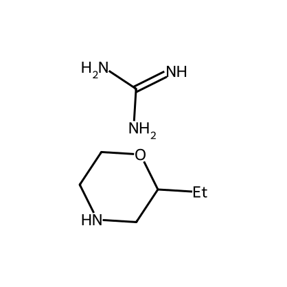 CCC1CNCCO1.N=C(N)N